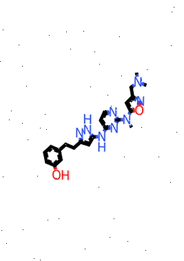 CN(C)Cc1cc(N(C)c2nccc(Nc3cc(CCc4cccc(O)c4)n[nH]3)n2)on1